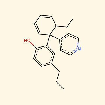 CCCc1ccc(O)c(C2(c3ccncc3)C=CC=CC2CC)c1